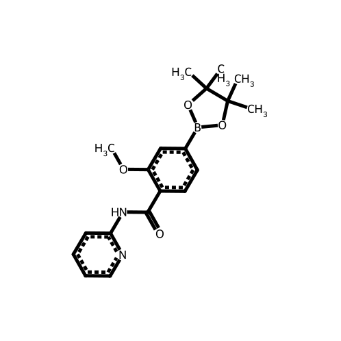 COc1cc(B2OC(C)(C)C(C)(C)O2)ccc1C(=O)Nc1ccccn1